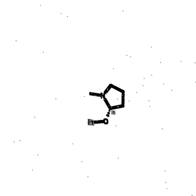 CCO[C@H]1CCCN1C